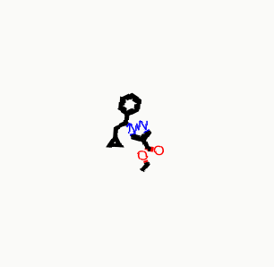 CCOC(=O)c1cnn(C(CC2CC2)c2ccccc2)c1